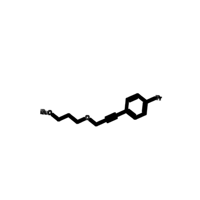 CC(C)COCCCOCC#Cc1ccc(C(C)C)cc1